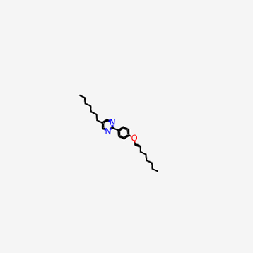 CCCCCCC=COc1ccc(-c2ncc(CCCCCCC)cn2)cc1